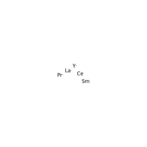 [Ce].[La].[Pr].[Sm].[Y]